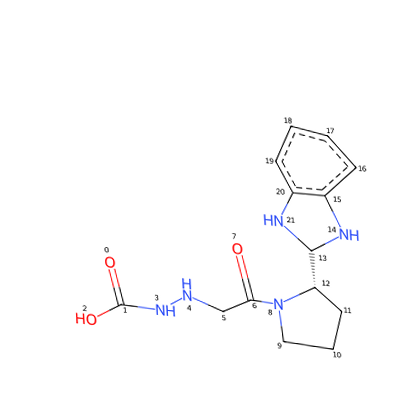 O=C(O)NNCC(=O)N1CCC[C@H]1C1Nc2ccccc2N1